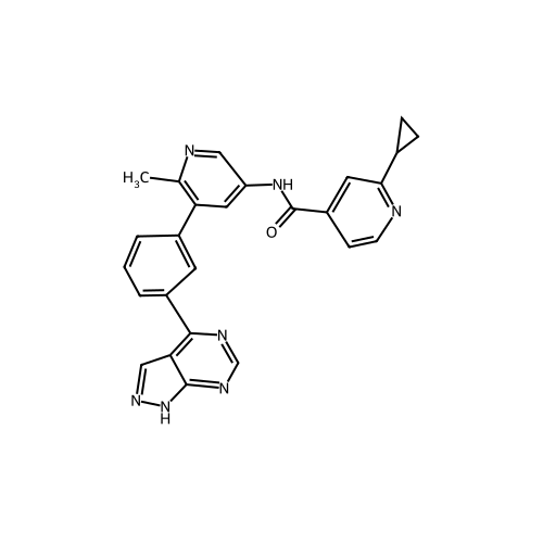 Cc1ncc(NC(=O)c2ccnc(C3CC3)c2)cc1-c1cccc(-c2ncnc3[nH]ncc23)c1